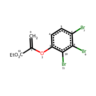 C=C(Oc1ccc(Br)c(Br)c1Br)C(=O)OCC